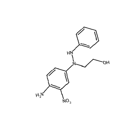 Nc1ccc(N(CCO)Nc2ccccc2)cc1[N+](=O)[O-]